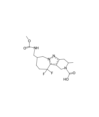 COC(=O)NCC1CCC(F)(F)c2c3c(nn2C1)CC(C)N(C(=O)O)C3